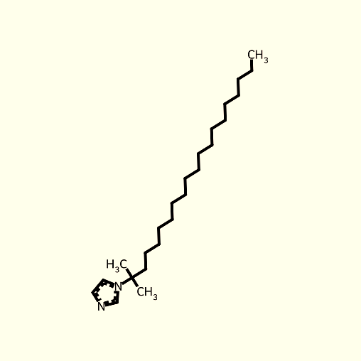 CCCCCCCCCCCCCCCCCCC(C)(C)n1ccnc1